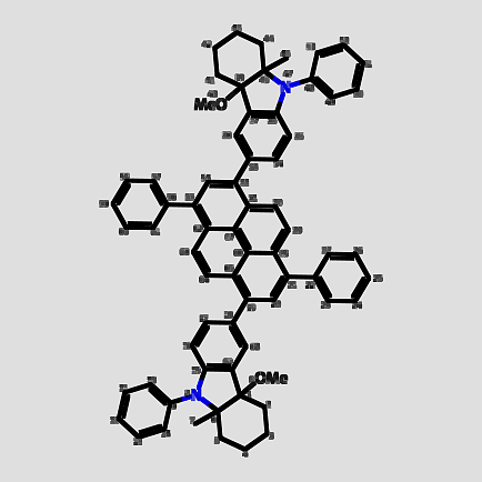 COC12CCCCC1(C)N(c1ccccc1)c1ccc(-c3cc(-c4ccccc4)c4ccc5c(-c6ccc7c(c6)C6(OC)CCCCC6(C)N7c6ccccc6)cc(-c6ccccc6)c6ccc3c4c65)cc12